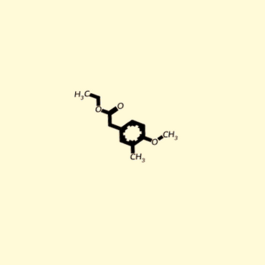 CCOC(=O)Cc1ccc(OC)c(C)c1